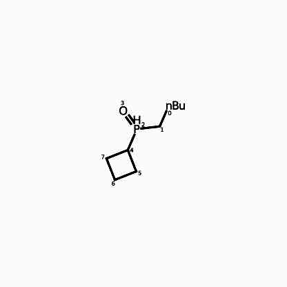 CCCCC[PH](=O)C1CCC1